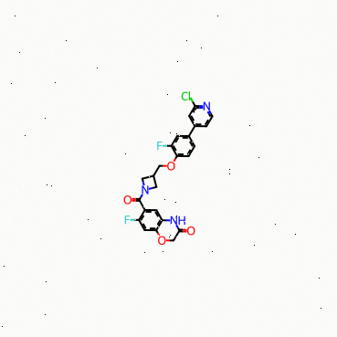 O=C1COc2cc(F)c(C(=O)N3CC(COc4ccc(-c5ccnc(Cl)c5)cc4F)C3)cc2N1